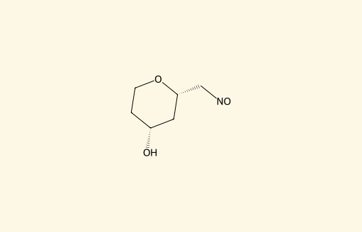 O=NC[C@@H]1C[C@H](O)CCO1